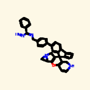 N=N/C(=N\Cc1ccc(-c2ccc3c(c2)C2(C4=C(C=CNC4)OC4=C2CN2CC42)c2ccccc2-3)cc1)c1ccccc1